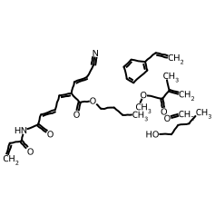 C=C(C)C(=O)OC.C=CC(=O)NC(=O)C=CC=C(C=CC#N)C(=O)OCCCC.C=Cc1ccccc1.C=O.CCCCO